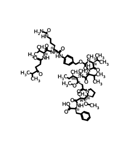 CC[C@H](C)[C@@H]([C@@H](CC(=O)N1CCC[C@H]1[C@H](OC)[C@@H](C)C(=O)N[C@@H](Cc1ccccc1)C(=O)O)OC)N(C)C(=O)[C@@H](NC(=O)[C@H](C(C)C)N(C)C(=O)OCc1ccc(NC(=O)[C@H](CCCNC(N)=O)NC(=O)[C@@H](NC(=O)CCC(=O)C(C)C)C(C)C)cc1)C(C)C